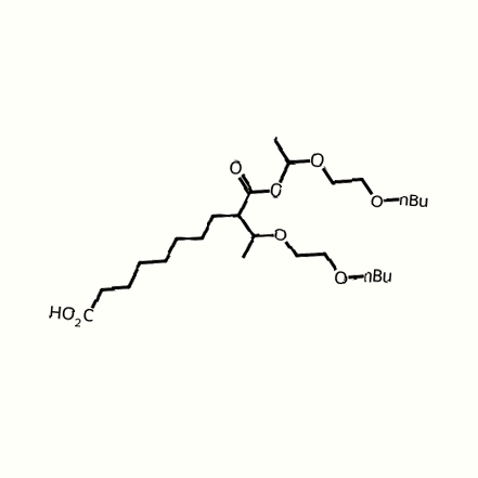 CCCCOCCOC(C)OC(=O)C(CCCCCCCC(=O)O)C(C)OCCOCCCC